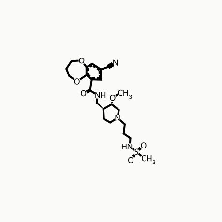 CO[C@@H]1CN(CCCNS(C)(=O)=O)CC[C@H]1CNC(=O)c1cc(C#N)cc2c1OCCCO2